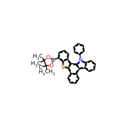 CC1(C)OB(c2cccc3c2sc2c4ccccc4c4c5ccccc5n(-c5ccccc5)c4c32)OC1(C)C